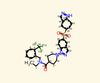 CCN(Cc1ccccc1C(F)(F)F)C(=O)C1CCN(n2ncc3cc(S(=O)(=O)c4ccc5[nH]ncc5c4)ccc32)CC1